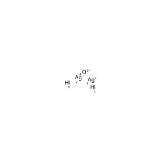 I.I.[Ag+].[Ag+].[O-2]